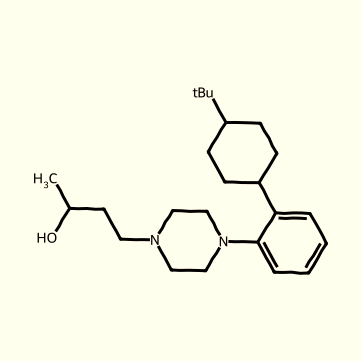 CC(O)CCN1CCN(c2ccccc2C2CCC(C(C)(C)C)CC2)CC1